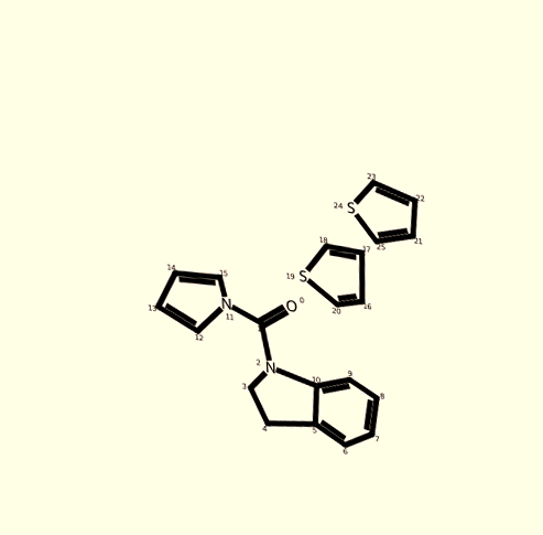 O=C(N1CCc2ccccc21)n1cccc1.c1ccsc1.c1ccsc1